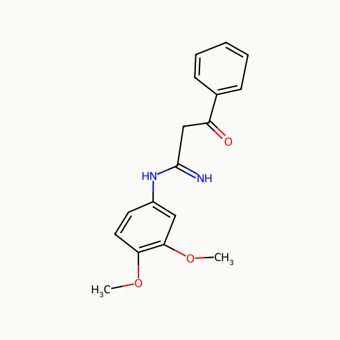 COc1ccc(NC(=N)CC(=O)c2ccccc2)cc1OC